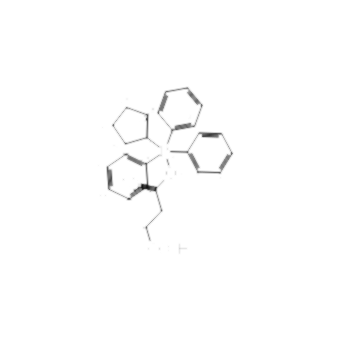 O=C(O)CCC(=O)OP(c1ccccc1)(c1ccccc1)(c1ccccc1)C1CCCC1